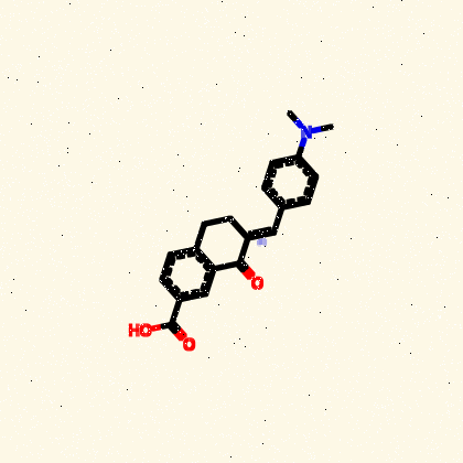 CN(C)c1ccc(/C=C2\CCc3ccc(C(=O)O)cc3C2=O)cc1